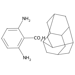 C1C2CC3C4CC5CC(C14)C(C2)C3C5.Nc1cccc(N)c1C(=O)O